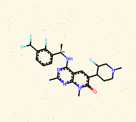 Cc1nc(N[C@H](C)c2cccc(C(F)F)c2F)c2cc(C3CCN(C)CC3F)c(=O)n(C)c2n1